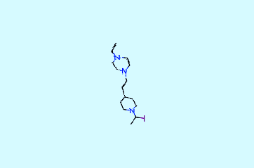 CCN1CCN(CCC2CCN(C(C)I)CC2)CC1